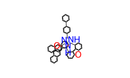 c1ccc(-c2ccc(C3=NC(c4ccc5ccccc5c4)NC(c4cccc5oc6cccc(-c7cccc8oc9cc%10ccccc%10cc9c78)c6c45)N3)cc2)cc1